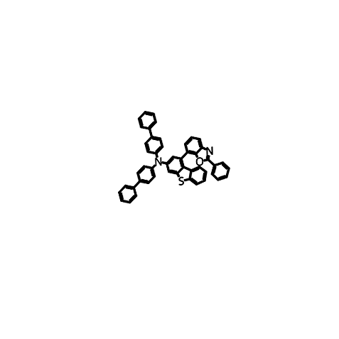 c1ccc(-c2ccc(N(c3ccc(-c4ccccc4)cc3)c3cc(-c4cccc5nc(-c6ccccc6)oc45)c4c(c3)sc3ccccc34)cc2)cc1